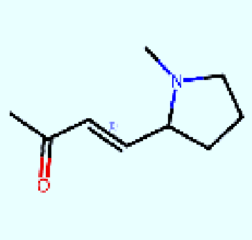 CC(=O)/C=C/C1CCCN1C